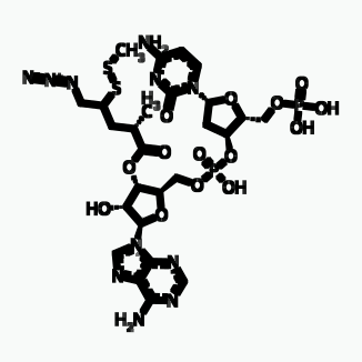 CSSC(CN=[N+]=[N-])C[C@H](C)C(=O)O[C@H]1[C@@H](O)[C@H](n2cnc3c(N)ncnc32)O[C@@H]1COP(=O)(O)O[C@H]1C[C@H](n2ccc(N)nc2=O)O[C@@H]1COP(=O)(O)O